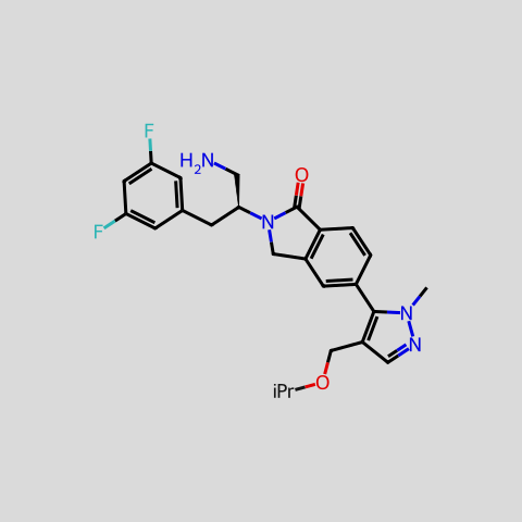 CC(C)OCc1cnn(C)c1-c1ccc2c(c1)CN([C@H](CN)Cc1cc(F)cc(F)c1)C2=O